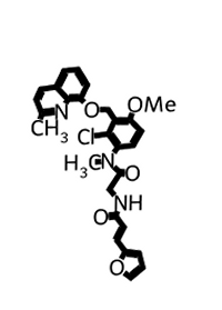 COc1ccc(N(C)C(=O)CNC(=O)C=Cc2ccco2)c(Cl)c1COc1cccc2ccc(C)nc12